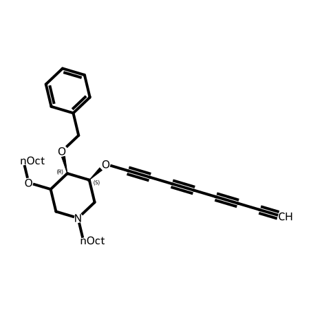 C#CC#CC#CC#CO[C@H]1CN(CCCCCCCC)CC(OCCCCCCCC)[C@H]1OCc1ccccc1